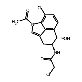 CC(=O)n1cc2c3c(ccc(Cl)c31)[C@H](O)[C@@H](NC(=O)CCl)C2